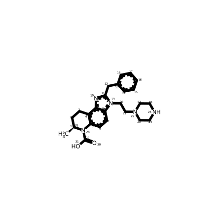 C[C@H]1CCc2c(ccc3c2nc(Cc2ccccc2)n3CCN2CCNCC2)N1C(=O)O